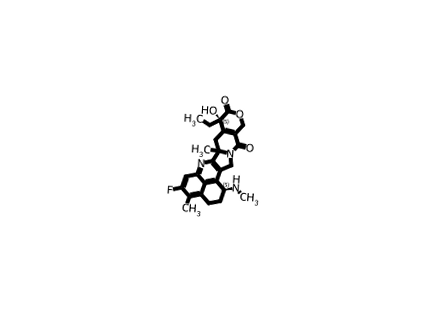 CC[C@@]1(O)C(=O)OCC2=C1CC1(C)c3nc4cc(F)c(C)c5c4c(c3CN1C2=O)[C@@H](NC)CC5